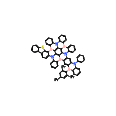 CC(C)c1cc(C(C)C)c(B2c3ccccc3N(c3ccccc3)c3cc4c(cc32)B2c3ccccc3N3c5ccc6c(sc7ccccc76)c5B5c6ccccc6N6c7ccccc7B7c8ccccc8N4c4c7c6c5c3c42)c(C(C)C)c1